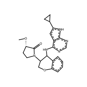 CO[C@H]1CCN(C2COc3ccccc3C2Nc2ncnc3[nH]c(C4CC4)cc23)C1=O